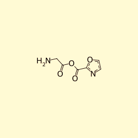 NCC(=O)OC(=O)c1ncco1